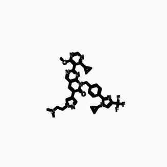 COc1ncnc(C2CC2)c1-c1ncc2cc(-c3cnn(CCN(C)C)c3)c(=O)n(Cc3ccc(-c4nc(C(F)(F)F)cn4C4CC4)cc3)c2n1